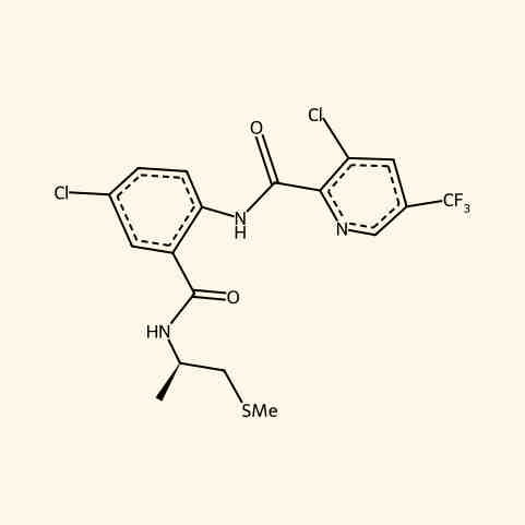 CSC[C@@H](C)NC(=O)c1cc(Cl)ccc1NC(=O)c1ncc(C(F)(F)F)cc1Cl